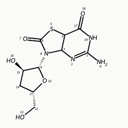 NC1=NC2C(SC(=O)N2[C@@H]2O[C@H](CO)C[C@H]2O)C(=O)N1